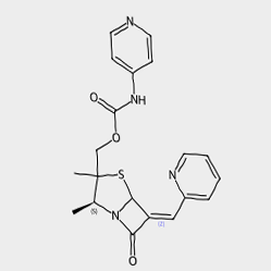 C[C@@H]1N2C(=O)/C(=C/c3ccccn3)C2SC1(C)COC(=O)Nc1ccncc1